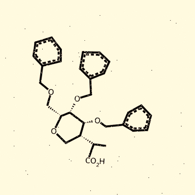 CC(C(=O)O)[C@@H]1CO[C@H](COCc2ccccc2)[C@H](OCc2ccccc2)[C@@H]1OCc1ccccc1